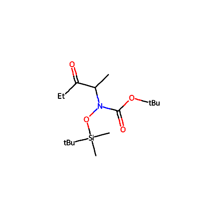 CCC(=O)C(C)N(O[Si](C)(C)C(C)(C)C)C(=O)OC(C)(C)C